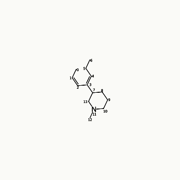 C/C=C\C(=C/CC)C1CCCN(C)C1